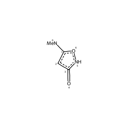 CNc1cc(=O)[nH]o1